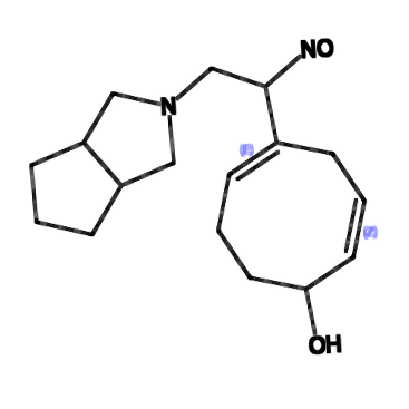 O=NC(CN1CC2CCCC2C1)/C1=C/CCC(O)/C=C\C1